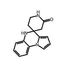 O=C1CC2(CCN1)Nc1ccccc1-n1cccc12